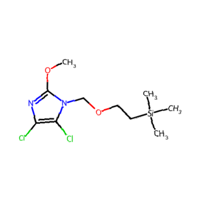 COc1nc(Cl)c(Cl)n1COCC[Si](C)(C)C